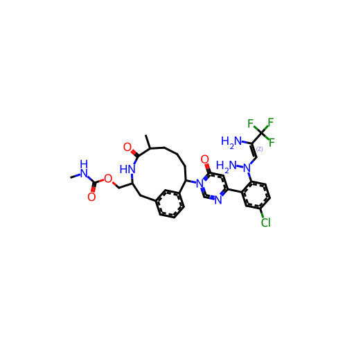 CNC(=O)OCC1Cc2cccc(c2)C(n2cnc(-c3cc(Cl)ccc3N(N)/C=C(\N)C(F)(F)F)cc2=O)CCCC(C)C(=O)N1